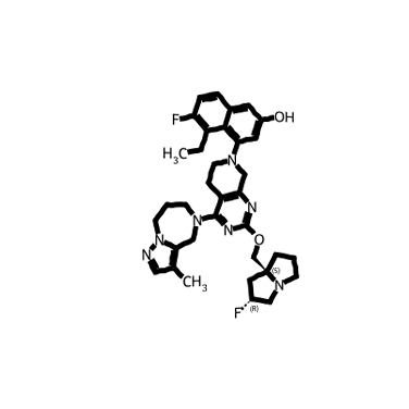 CCc1c(F)ccc2cc(O)cc(N3CCc4c(nc(OC[C@@]56CCCN5C[C@H](F)C6)nc4N4CCCn5ncc(C)c5C4)C3)c12